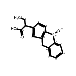 CCC(C(=O)O)c1ccc2c(c1)Cc1ccccc1[S+]2[O-]